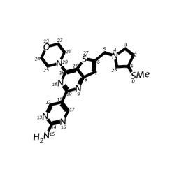 CSC1CCN(Cc2cc3nc(-c4cnc(N)nc4)nc(N4CCOCC4)c3s2)C1